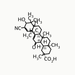 CC1(C)C(O)C(C#N)=C[C@]2(C)C3=CC(=O)[C@@H]4[C@@H]5C[C@@](C)(C(=O)O)CC[C@]5(C)CC[C@@]4(C)[C@]3(C)CC[C@@H]12